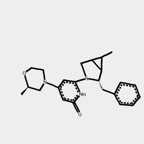 CC1C2CN(c3cc(N4CCO[C@H](C)C4)cc(=O)[nH]3)[C@@H](Cc3ccccc3)C12